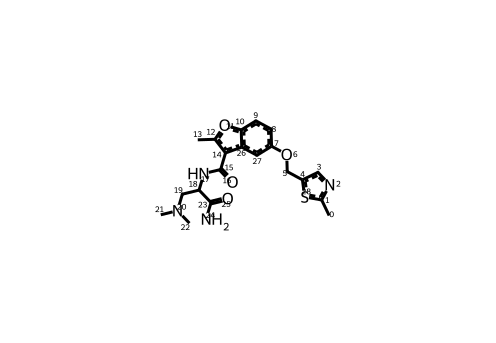 Cc1ncc(COc2ccc3oc(C)c(C(=O)NC(CN(C)C)C(N)=O)c3c2)s1